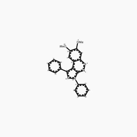 COc1cc2nnc3c(c(-c4ccccc4)nn3-c3ccccc3)c2cc1OC